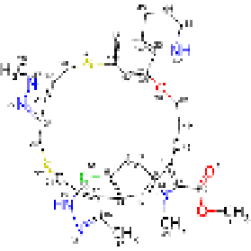 COC(=O)c1c2c3ccc(Cl)c(c3n1C)-c1c(C)n[nH]c1CSCc1cc(n(C)n1)CSc1cc3c(c(c1)OCCC2)NCCC3